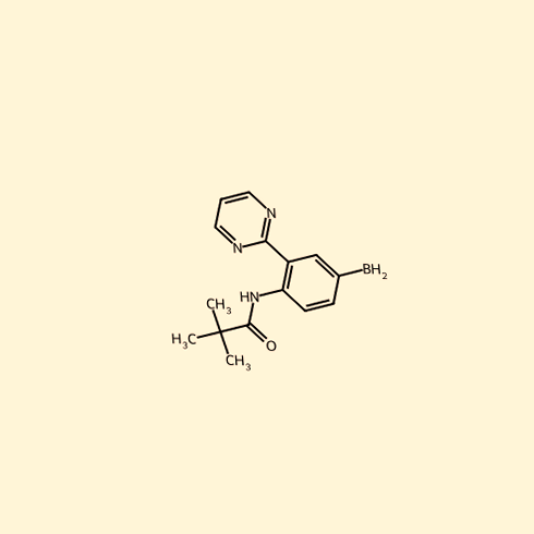 Bc1ccc(NC(=O)C(C)(C)C)c(-c2ncccn2)c1